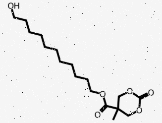 CC1(C(=O)OCCCCCCCCCCCO)COC(=O)OC1